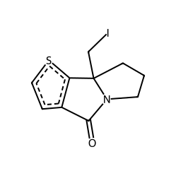 O=C1c2ccsc2C2(CI)CCCN12